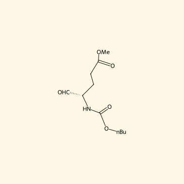 CCCCOC(=O)N[C@H](C=O)CCC(=O)OC